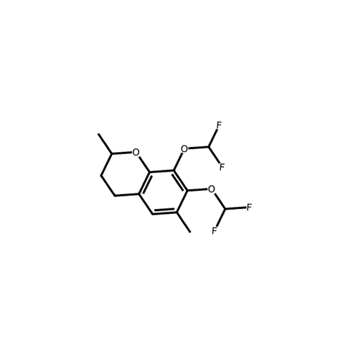 Cc1cc2c(c(OC(F)F)c1OC(F)F)OC(C)CC2